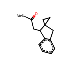 CNC(=O)CC1c2ccccc2CC12CC2